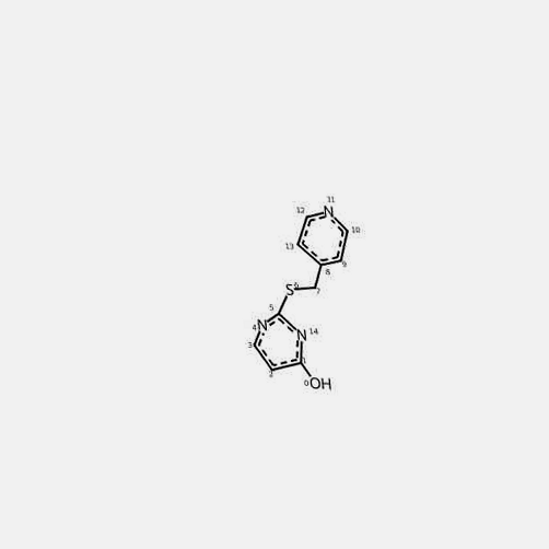 Oc1ccnc(SCc2ccncc2)n1